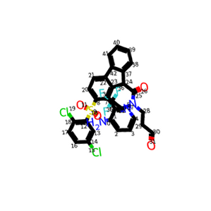 Nc1cccnc1-c1c(S(=O)(=O)c2cc(Cl)ccc2Cl)ccc2c1C(C(=O)N(CCC=O)CC(F)(F)F)c1ccccc1-2